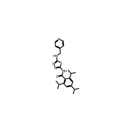 CC(C)c1cc(C(C)C)c(C(=O)Nc2nnc(NCc3ccncc3)s2)c(C(C)C)c1